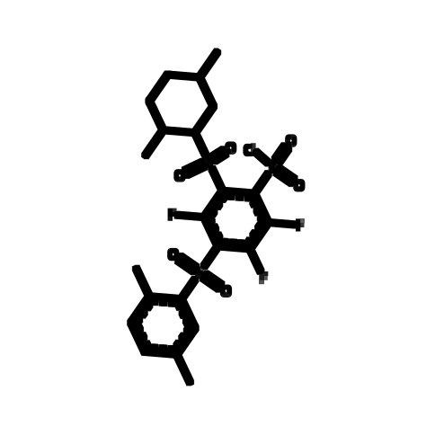 Cc1ccc(C)c(S(=O)(=O)c2c(F)c(F)c(S(=O)(=O)Cl)c(S(=O)(=O)C3CC(C)CCC3C)c2F)c1